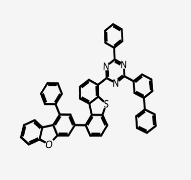 c1ccc(-c2cccc(-c3nc(-c4ccccc4)nc(-c4cccc5c4sc4cccc(-c6cc(-c7ccccc7)c7c(c6)oc6ccccc67)c45)n3)c2)cc1